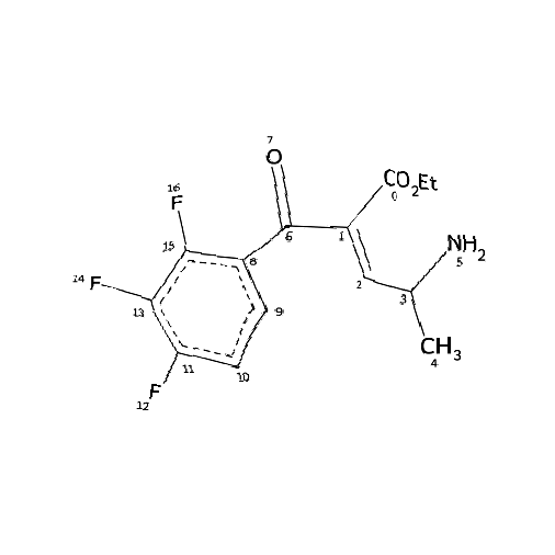 CCOC(=O)C(=CC(C)N)C(=O)c1ccc(F)c(F)c1F